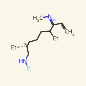 C=C/C(=N/C)C(CC)CCC[C@@H](CC)CNF